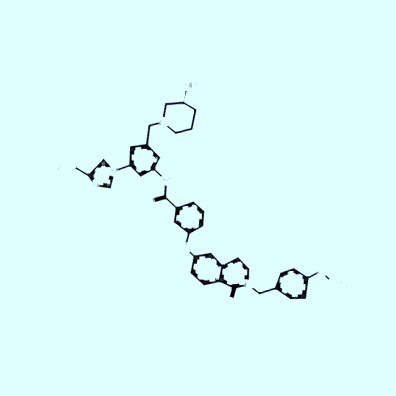 COc1ccc(Cn2ccc3cc(Oc4cccc(C(=O)Nc5cc(CN6CCC[C@H](N)C6)cc(-n6cnc(C)c6)c5)c4)ccc3c2=O)cc1